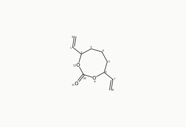 C=CC1CCCC(C=C)OC(=O)O1